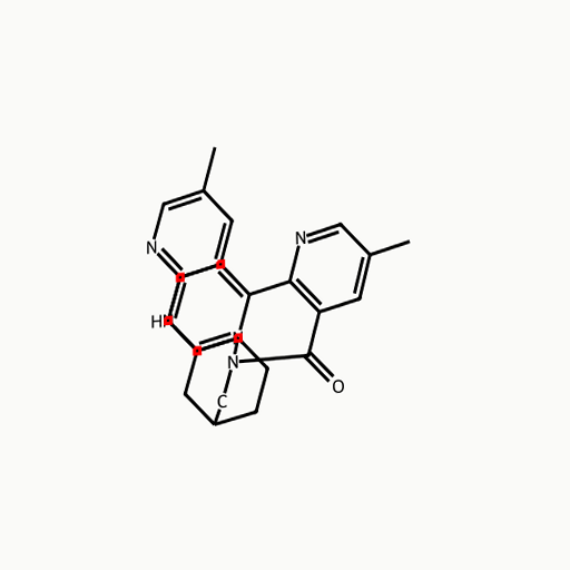 Cc1ccc(NC2CC3CCC2N(C(=O)c2cc(C)cnc2-c2ccccn2)C3)nc1